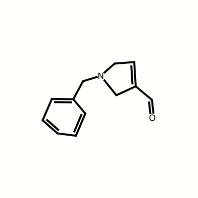 O=CC1=CCN(Cc2ccccc2)C1